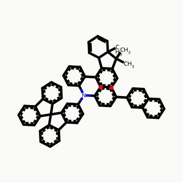 CC1(C)c2cccc(-c3ccccc3N(c3ccc(-c4ccc5ccccc5c4)cc3)c3ccc4c(c3)C3(c5ccccc5-c5ccccc53)c3ccccc3-4)c2C2C=CC=CC21C